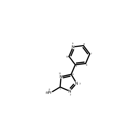 CCCC1N=NC(c2cccnc2)=N1